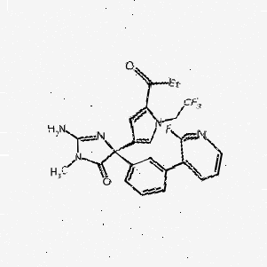 CCC(=O)c1cc([C@]2(c3cccc(-c4cccnc4F)c3)N=C(N)N(C)C2=O)cn1CC(F)(F)F